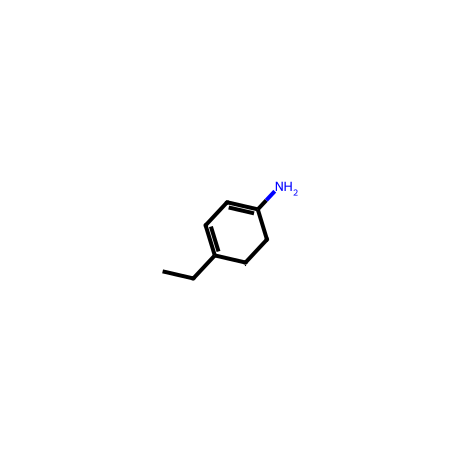 CCC1=CC=C(N)C[CH]1